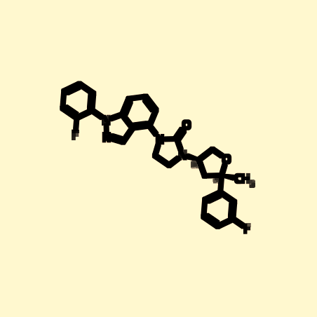 C[C@@]1(c2cccc(F)c2)C[C@@H](N2CCN(c3cccc4c3cnn4-c3ccccc3F)C2=O)CO1